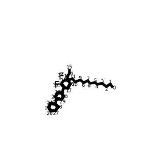 CCCCCCCCCCCCC1(CCC)C=CC(c2ccc(-c3ccccc3)cc2)=C(F)C1F